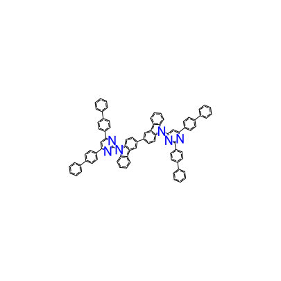 c1ccc(-c2ccc(-c3cc(-n4c5ccccc5c5cc(-c6ccc7c(c6)c6ccccc6n7-c6nc(-c7ccc(-c8ccccc8)cc7)cc(-c7ccc(-c8ccccc8)cc7)n6)ccc54)nc(-c4ccc(-c5ccccc5)cc4)n3)cc2)cc1